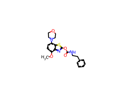 COc1ccc(N2CCOCC2)c2sc(OC(=O)NCCc3ccccc3)nc12